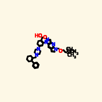 C[Si](C)(C)CCOCn1ccc2cc3c(cnn3C3=C(C(=O)O)CCC(N4CCN(CC5=C(c6ccccc6)CCCC5)CC4)=C3)nc21